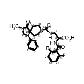 CN1CN(c2ccccc2)C2(CCN(C(=O)NCC(NC(=O)c3c(F)cccc3F)C(=O)O)CC2)C1=O